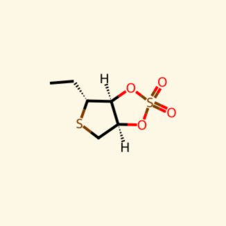 CC[C@H]1SC[C@@H]2OS(=O)(=O)O[C@@H]21